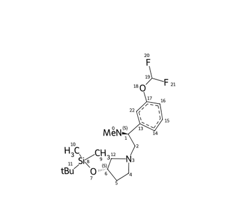 CN[C@H](CN1CC[C@H](O[Si](C)(C)C(C)(C)C)C1)c1cccc(OC(F)F)c1